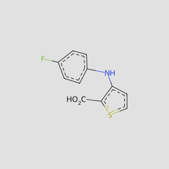 O=C(O)c1sccc1Nc1ccc(F)cc1